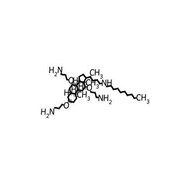 CCCCCCCCCCNCCCC(C)C1CC[C@H]2[C@@H]3[C@H](OCCCN)C[C@@H]4C[C@H](OCCCN)CC[C@]4(C)[C@H]3C[C@H](OCCCN)[C@]12C